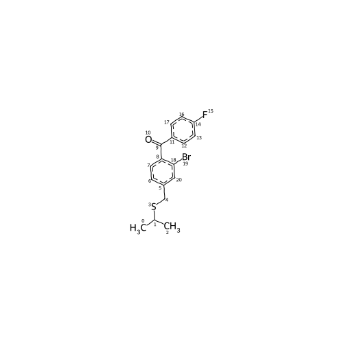 CC(C)SCc1ccc(C(=O)c2ccc(F)cc2)c(Br)c1